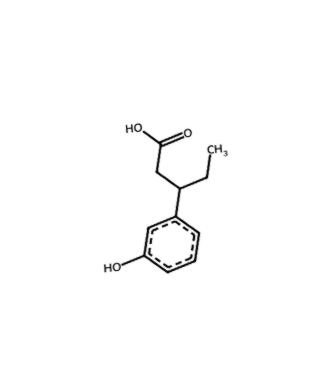 CCC(CC(=O)O)c1cccc(O)c1